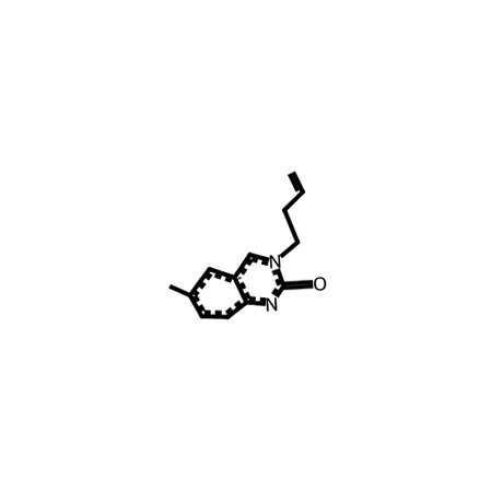 C=CCCn1cc2cc(C)ccc2nc1=O